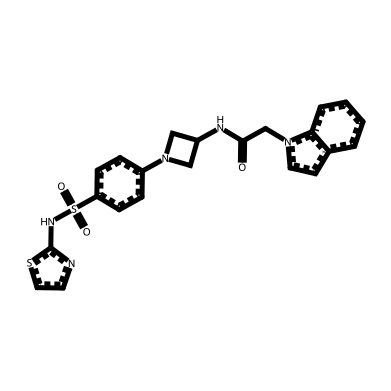 O=C(Cn1ccc2ccccc21)NC1CN(c2ccc(S(=O)(=O)Nc3nccs3)cc2)C1